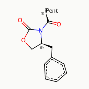 CCC[C@H](C)C(=O)N1C(=O)OC[C@@H]1Cc1ccccc1